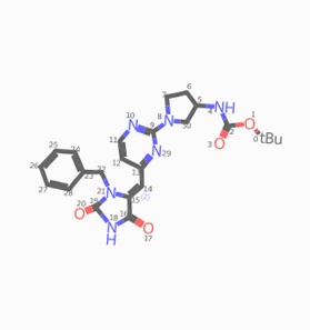 CC(C)(C)OC(=O)NC1CCN(c2nccc(/C=C3/C(=O)NC(=O)N3Cc3ccccc3)n2)C1